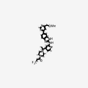 COCc1cc(-c2ccc3nc(Nc4cc(C(C)N5CCN(C(=O)CC(F)(F)F)CC5)ccn4)[nH]c3c2)ncn1